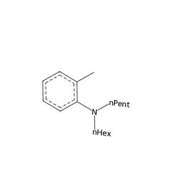 CCCCCCN(CCCCC)c1ccccc1C